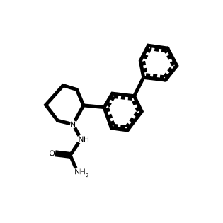 NC(=O)NN1CCCCC1c1cccc(-c2ccccc2)c1